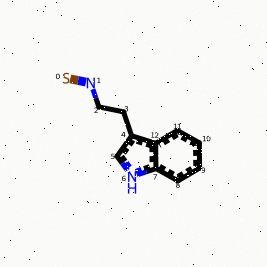 S=NCCc1c[nH]c2ccccc12